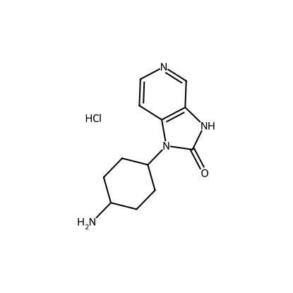 Cl.NC1CCC(n2c(=O)[nH]c3cnccc32)CC1